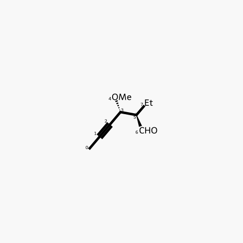 CC#C[C@H](OC)[C@H](C=O)CC